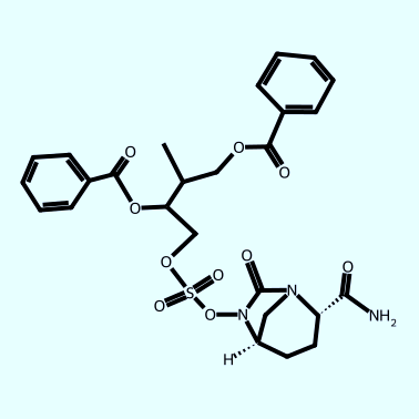 CC(COC(=O)c1ccccc1)C(COS(=O)(=O)ON1C(=O)N2C[C@H]1CC[C@H]2C(N)=O)OC(=O)c1ccccc1